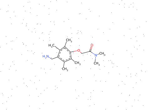 Cc1c(C)c(OCC(=O)N(C)C)c(C)c(C)c1CN